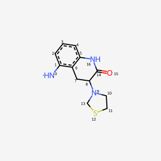 [NH]c1cccc2c1CC(N1CCSC1)C(=O)N2